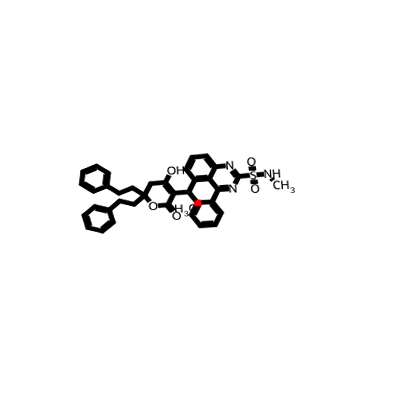 CCC(C1=C(O)CC(CCc2ccccc2)(CCc2ccccc2)OC1=O)c1cccc2nc(S(=O)(=O)NC)nc(-c3ccccc3)c12